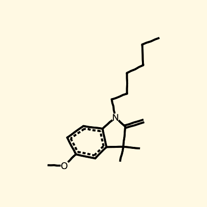 C=C1N(CCCCCC)c2ccc(OC)cc2C1(C)C